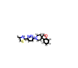 CC1CSC(c2ccc(N3CCC4(CC3)COc3ccccc34)nn2)=N1